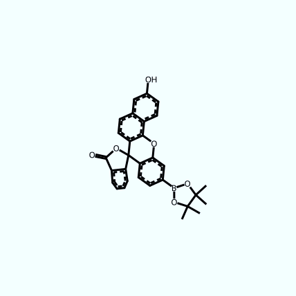 CC1(C)OB(c2ccc3c(c2)Oc2c(ccc4cc(O)ccc24)C32OC(=O)c3ccccc32)OC1(C)C